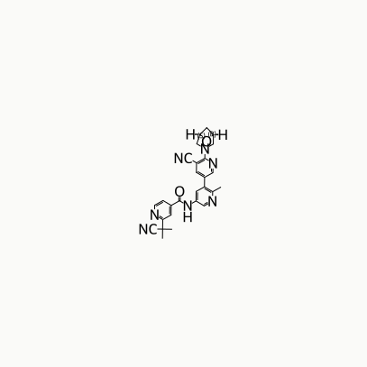 Cc1ncc(NC(=O)c2ccnc(C(C)(C)C#N)c2)cc1-c1cnc(N2C[C@H]3C[C@@H](C2)O3)c(C#N)c1